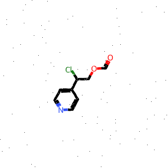 O=COCC(Cl)c1ccncc1